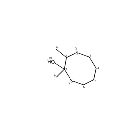 CC1SCCCCSC1(C)O